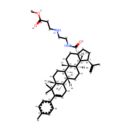 C=C(C)[C@@H]1CC[C@]2(C(=O)NCCNCCC(=O)OC)CC[C@]3(C)[C@H](CC[C@@H]4[C@@]5(C)CC=C(c6ccc(C)cc6)C(C)(C)[C@@H]5CC[C@]43C)[C@@H]12